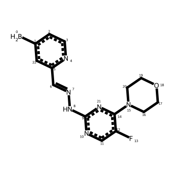 Bc1ccnc(/C=N/Nc2ncc(F)c(N3CCOCC3)n2)c1